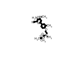 CNc1cc(-c2ccc(OCCN(C)C(=O)OC(C)(C)C)c(C)c2)nc(C#N)c1N